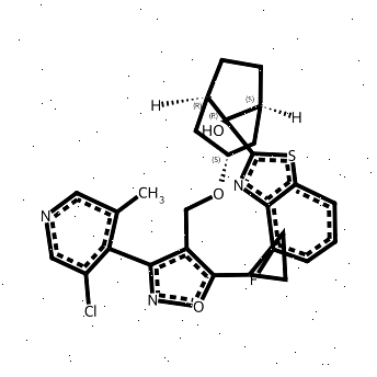 Cc1cncc(Cl)c1-c1noc(C2CC2)c1CO[C@@H]1C[C@H]2CC[C@@H](C1)[C@]2(O)c1nc2c(F)cccc2s1